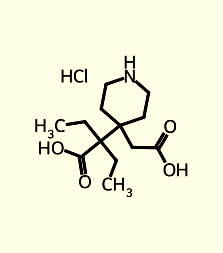 CCC(CC)(C(=O)O)C1(CC(=O)O)CCNCC1.Cl